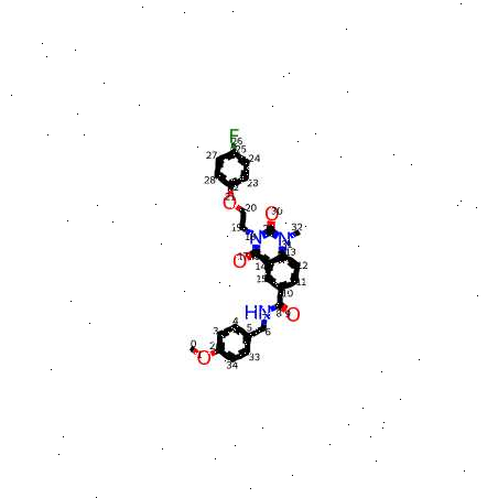 COc1ccc(CNC(=O)c2ccc3c(c2)c(=O)n(CCOc2ccc(F)cc2)c(=O)n3C)cc1